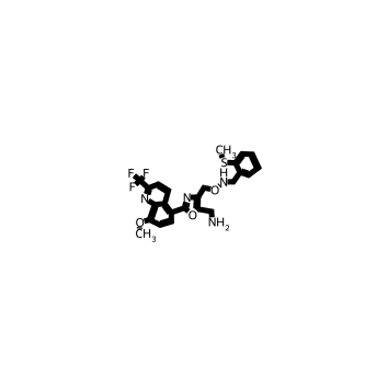 COc1ccc(-c2nc(CONCc3ccccc3SC)c(CN)o2)c2ccc(C(F)(F)F)nc12